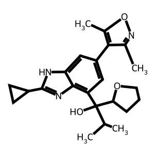 Cc1noc(C)c1-c1cc(C(O)(C(C)C)C2CCCO2)c2nc(C3CC3)[nH]c2c1